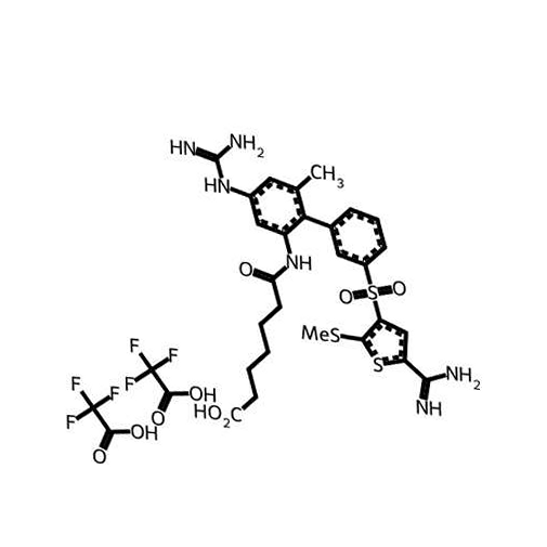 CSc1sc(C(=N)N)cc1S(=O)(=O)c1cccc(-c2c(C)cc(NC(=N)N)cc2NC(=O)CCCCCC(=O)O)c1.O=C(O)C(F)(F)F.O=C(O)C(F)(F)F